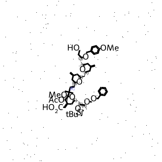 C=C1C[C@H](C[C@@H]2CC(=C)C[C@H](/C=C/C(C)(C)[C@]3(OC)O[C@H](C[C@@H](O[Si](C)(C)C(C)(C)C)[C@@H](C)OCOCc4ccccc4)CC(=CC(=O)O)[C@@H]3OC(C)=O)O2)O[C@H](C[C@H](CCO)OCc2ccc(OC)cc2)C1